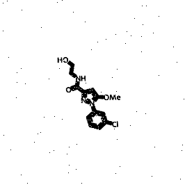 COc1cc(C(=O)NCCO)nn1-c1cccc(Cl)c1